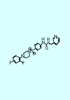 O=C(NCc1cccnc1)Nc1ccc(S(=O)(=O)N2CCN(c3ccc(F)cc3F)CC2)cc1